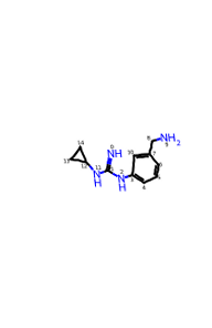 N=C(Nc1cccc(CN)c1)NC1CC1